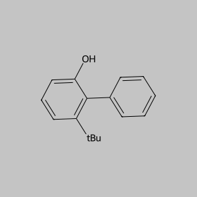 CC(C)(C)c1cccc(O)c1-c1ccccc1